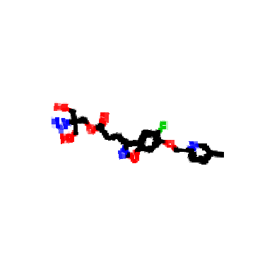 Cc1ccc(COc2cc3onc(CCC(=O)OCC(N)(CO)CO)c3cc2Cl)nc1